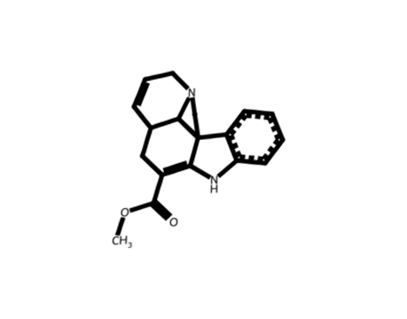 COC(=O)C1=C2Nc3ccccc3C23CCN2CC=CC(C1)C23